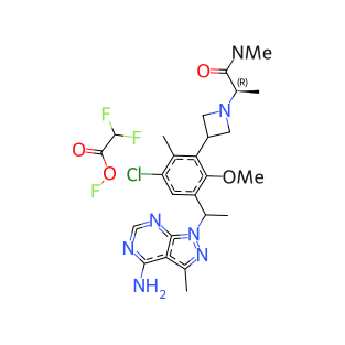 CNC(=O)[C@@H](C)N1CC(c2c(C)c(Cl)cc(C(C)n3nc(C)c4c(N)ncnc43)c2OC)C1.O=C(OF)C(F)F